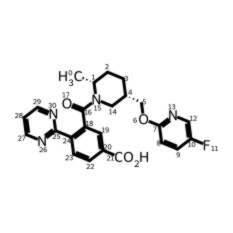 C[C@@H]1CC[C@H](COc2ccc(F)cn2)CN1C(=O)c1cc(C(=O)O)ccc1-c1ncccn1